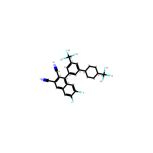 N#Cc1cc2cc(F)c(F)cc2c(-c2cc(C3CCC(C(F)(F)F)CC3)cc(C(F)(F)F)c2)c1C#N